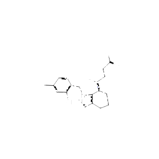 O=C(O)CC/C(F)=C1\CCCc2cnn(Cc3ccc(Cl)cc3Cl)c21